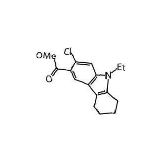 CCn1c2c(c3cc(C(=O)OC)c(Cl)cc31)CCCC2